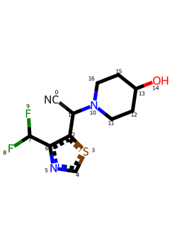 N#CC(c1scnc1C(F)F)N1CCC(O)CC1